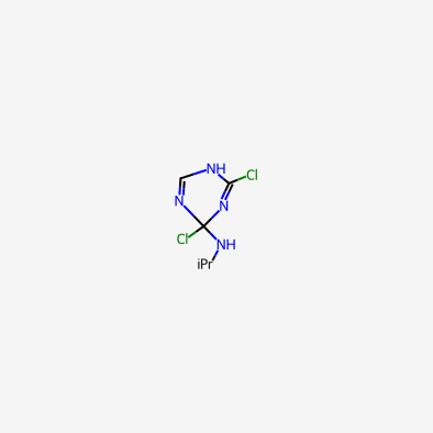 CC(C)NC1(Cl)N=CNC(Cl)=N1